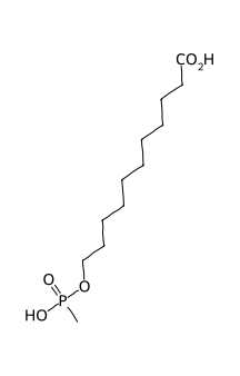 CP(=O)(O)OCCCCCCCCCCC(=O)O